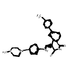 CN1CCN(c2ccc(NC=C3C(=O)NC(=O)c4ccc(-c5ccc(C(F)(F)F)cc5)cc43)cc2)CC1